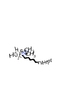 CCCCCCCCCCCCC(C(=O)O)[N+](C)(C)C